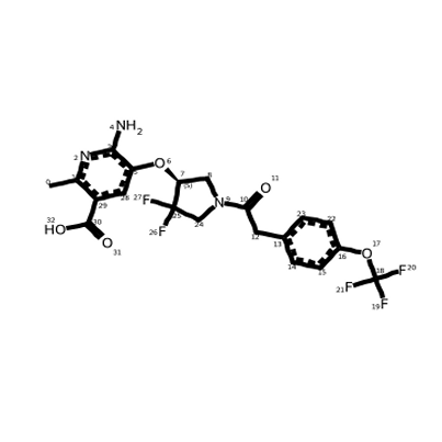 Cc1nc(N)c(O[C@H]2CN(C(=O)Cc3ccc(OC(F)(F)F)cc3)CC2(F)F)cc1C(=O)O